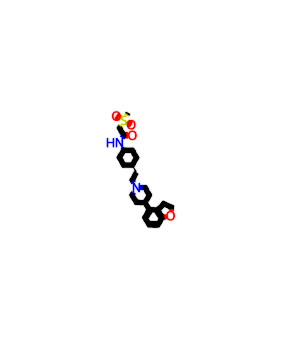 CS(=O)(=O)CC(=O)N[C@H]1CC[C@H](CCN2CCC(c3cccc4c3CCO4)CC2)CC1